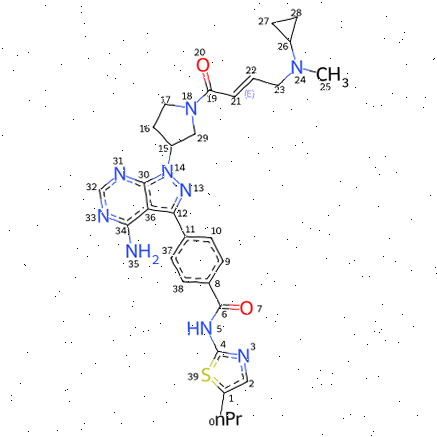 CCCc1cnc(NC(=O)c2ccc(-c3nn(C4CCN(C(=O)/C=C/CN(C)C5CC5)C4)c4ncnc(N)c34)cc2)s1